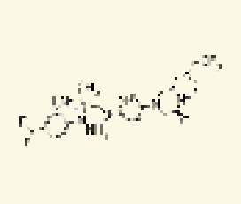 C/C(N)=C(\COc1ccc(N2CC(=O)N3CCN(CC(F)(F)F)CC3C2)nn1)N(N)c1ccc(C(F)F)cc1